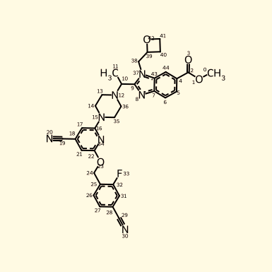 COC(=O)c1ccc2nc(C(C)N3CCN(c4cc(C#N)cc(OCc5ccc(C#N)cc5F)n4)CC3)n(CC3CCO3)c2c1